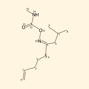 C=CCCSC(CC(C)C)=NOC(=O)NC